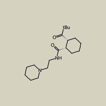 CC(C)(C)C(=O)[C@@H]1CCCC[C@@H]1C(=O)NCCN1CCCCC1